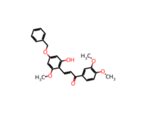 COc1ccc(C(=O)C=Cc2c(O)cc(OCc3ccccc3)cc2OC)cc1OC